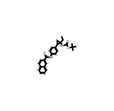 CCC1(NC(=O)OC(C)(C)C)CC1c1ccc(NC(=O)c2ccc3ccccc3c2)cc1